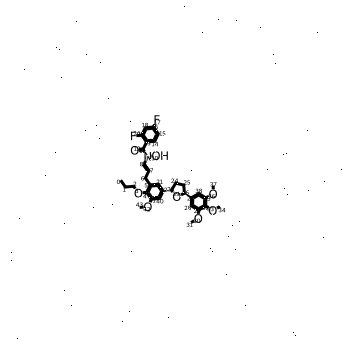 CCCOc1c(CC=CN(O)C(=O)c2ccc(F)cc2F)cc([C@@H]2CC[C@@H](c3cc(OC)c(OC)c(OC)c3)O2)cc1OC